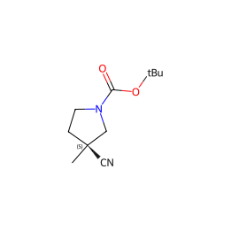 CC(C)(C)OC(=O)N1CC[C@](C)(C#N)C1